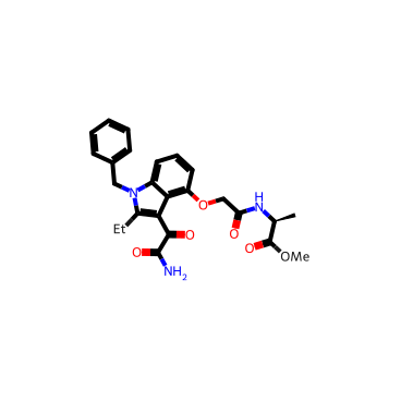 CCc1c(C(=O)C(N)=O)c2c(OCC(=O)N[C@@H](C)C(=O)OC)cccc2n1Cc1ccccc1